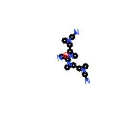 N#Cc1ccc(-n2c3ccccc3c3cc(-c4ccc5c(c4)c4ccccc4n5-c4cc(-n5c6ccccc6c6cc(-c7ccc8c(c7)c7ccccc7n8-c7ccc(C#N)cc7)ccc65)c5oc6ccncc6c5c4)ccc32)cc1